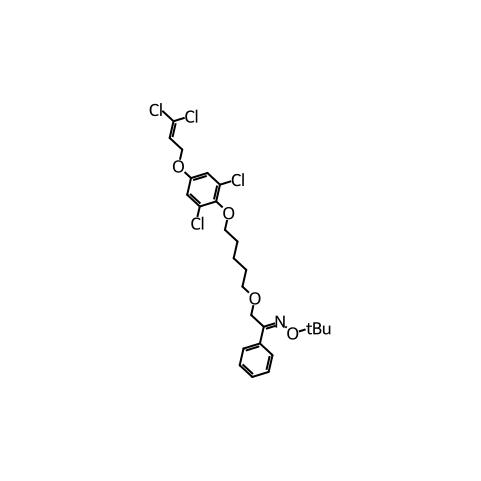 CC(C)(C)ON=C(COCCCCCOc1c(Cl)cc(OCC=C(Cl)Cl)cc1Cl)c1ccccc1